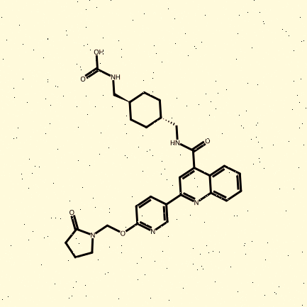 O=C(O)NC[C@H]1CC[C@H](CNC(=O)c2cc(-c3ccc(OCN4CCCC4=O)nc3)nc3ccccc23)CC1